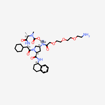 C[C@@H](C(=O)N[C@H](C(=O)N1C[C@@H](NC(=O)COCCOCCOCCN)C[C@H]1C(=O)N[C@@H]1CCCc2ccccc21)C1CCCCC1)N(C)C(=O)OC(C)(C)C